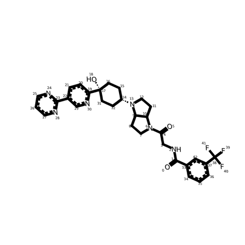 O=C(NCC(=O)N1CCC2C1CCN2[C@H]1CC[C@](O)(c2ccc(-c3ncccn3)cn2)CC1)c1cccc(C(F)(F)F)c1